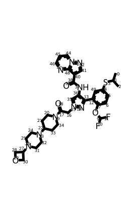 CC(C)Sc1ccc(OC(F)F)c(-c2nn(CC(=O)N3CCC(N4CCN(C5COC5)CC4)CC3)cc2NC(=O)c2cnn3cccnc23)c1